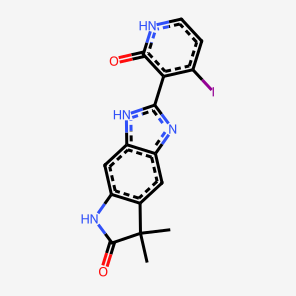 CC1(C)C(=O)Nc2cc3[nH]c(-c4c(I)cc[nH]c4=O)nc3cc21